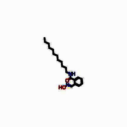 CCCCCCCCCCCCNC(=O)c1ccccc1C=NO